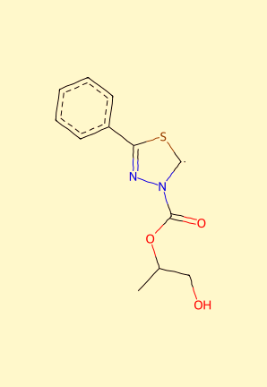 CC(CO)OC(=O)N1[CH]SC(c2ccccc2)=N1